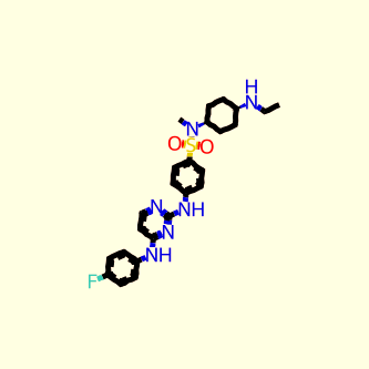 CCN[C@H]1CC[C@@H](N(C)S(=O)(=O)c2ccc(Nc3nccc(Nc4ccc(F)cc4)n3)cc2)CC1